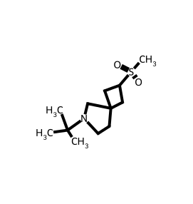 CC(C)(C)N1CCC2(CC(S(C)(=O)=O)C2)C1